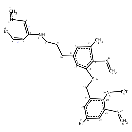 C=N/C=C(\C=C/CC)NCCCc1cc(C)c(N=C)c(SCc2cc(CC)cc(N=C)c2NCCC)c1